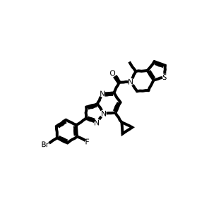 CC1c2ccsc2CCN1C(=O)c1cc(C2CC2)n2nc(-c3ccc(Br)cc3F)cc2n1